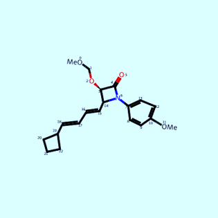 COCO[C@H]1C(=O)N(c2ccc(OC)cc2)C1C=CC=CC1CCC1